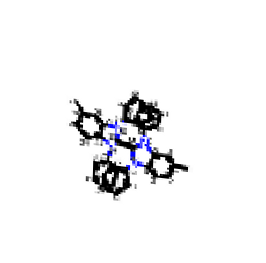 Cc1ccc2c(c1)N(c1ccccc1)/C(=C1/N(c3ccccc3)c3ccc(C)cc3N1c1ccccc1)N2c1ccccc1